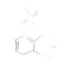 O=C(O)c1cccnc1C(=O)O.O=S(=O)([O-])[O-].[Cu+].[Cu+]